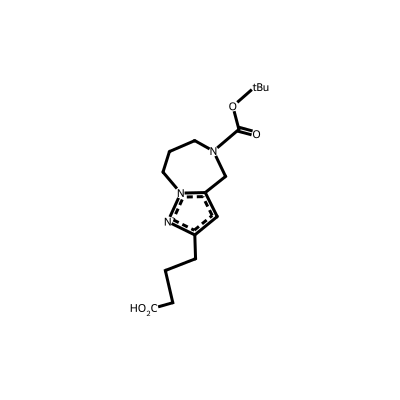 CC(C)(C)OC(=O)N1CCCn2nc(CCCC(=O)O)cc2C1